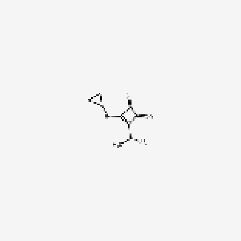 CC(C)c1c(NC2CC2)c(=O)c1=O